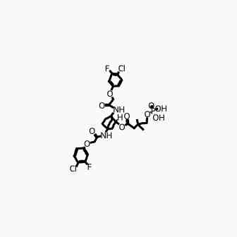 CC(C)(COP(=O)(O)O)CC(=O)O[C@@H]1CC2(NC(=O)COc3ccc(Cl)c(F)c3)CCC1(NC(=O)COc1ccc(Cl)c(F)c1)CC2